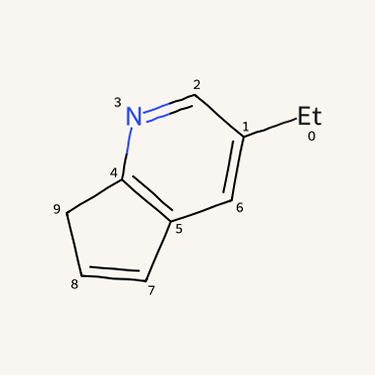 CCc1cnc2c(c1)C=CC2